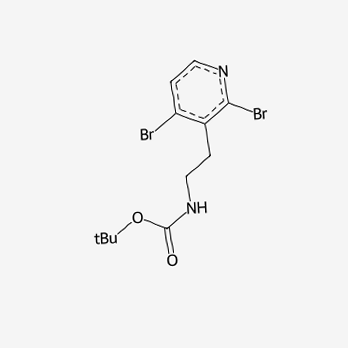 CC(C)(C)OC(=O)NCCc1c(Br)ccnc1Br